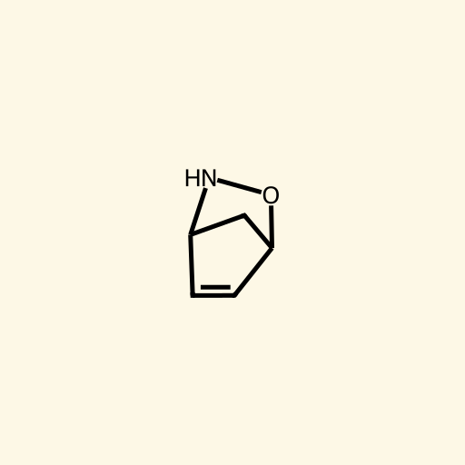 C1=CC2CC1NO2